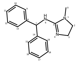 CN1CCN=C1NC(c1ccccc1)c1ccccc1